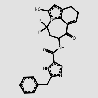 N#Cc1cc2c3n1C(F)(F)CC(NC(=O)c1nnc(Cc4ccccc4)[nH]1)C(=O)C3=CCC2